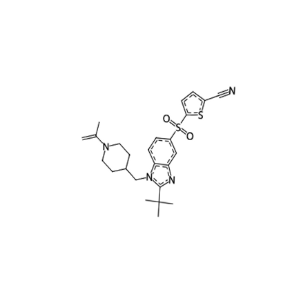 C=C(C)N1CCC(Cn2c(C(C)(C)C)nc3cc(S(=O)(=O)c4ccc(C#N)s4)ccc32)CC1